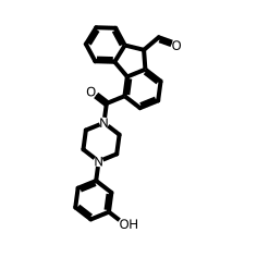 O=CC1c2ccccc2-c2c(C(=O)N3CCN(c4cccc(O)c4)CC3)cccc21